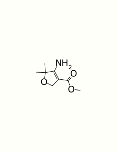 COC(=O)C1=C(N)C(C)(C)OC1